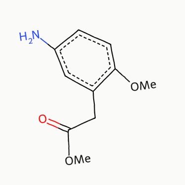 COC(=O)Cc1cc(N)ccc1OC